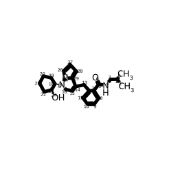 CC(C)CNC(=O)c1ccccc1CC1=CCN([C@H]2CCCC[C@@H]2O)n2cccc21